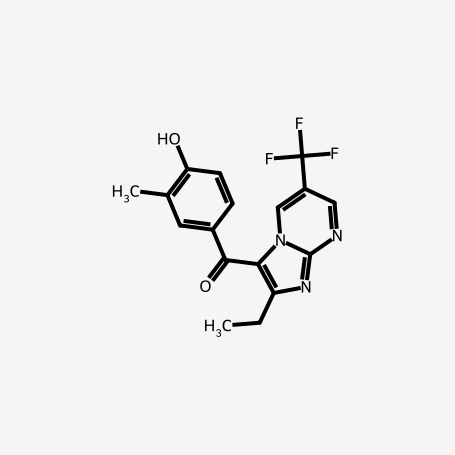 CCc1nc2ncc(C(F)(F)F)cn2c1C(=O)c1ccc(O)c(C)c1